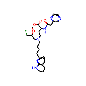 COC(CF)CN(CCCCc1ccc2c(n1)NCCC2)CCC(NC(=O)Cc1cnccn1)C(=O)O